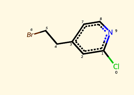 Clc1cc(CCBr)ccn1